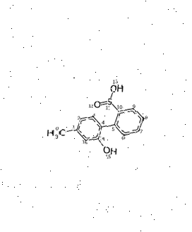 Cc1ccc(-c2ccccc2S(=O)O)c(O)c1